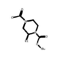 CCC1CN(C(=O)Cl)CCN1C(=O)OC(C)(C)C